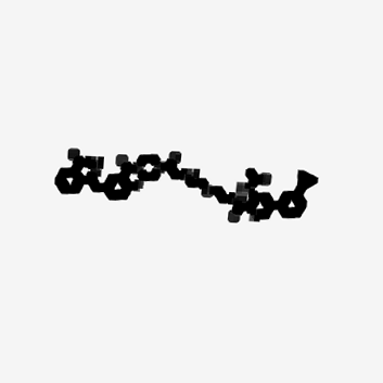 CC(=O)Nc1cc(-c2cccc(C3CC3)c2)cnc1C(=O)NCCOCCNCC(=O)N1CCN(C(=O)c2cc(Cc3n[nH]c(=O)c4ccccc34)ccc2F)CC1